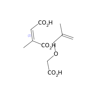 C/C(=C/C(=O)O)C(=O)O.C=C(C)COCC(=O)O